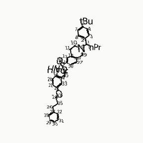 CCCC(c1ccc(C(C)(C)C)cc1)N1CCc2cc(S(=O)(=O)Nc3ccc(OCCCc4ccccc4)cc3F)ccc2C1